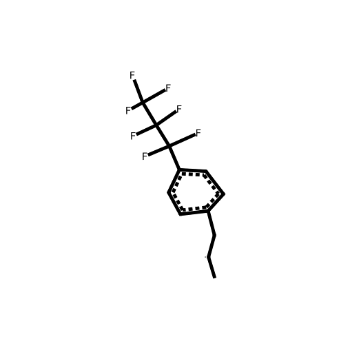 C[CH]Cc1ccc(C(F)(F)C(F)(F)C(F)(F)F)cc1